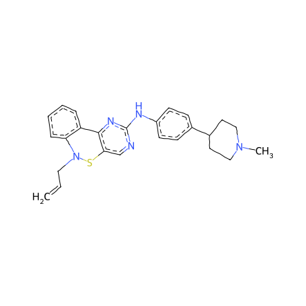 C=CCN1Sc2cnc(Nc3ccc(C4CCN(C)CC4)cc3)nc2-c2ccccc21